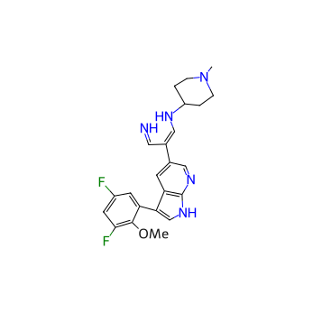 COc1c(F)cc(F)cc1-c1c[nH]c2ncc(/C(C=N)=C/NC3CCN(C)CC3)cc12